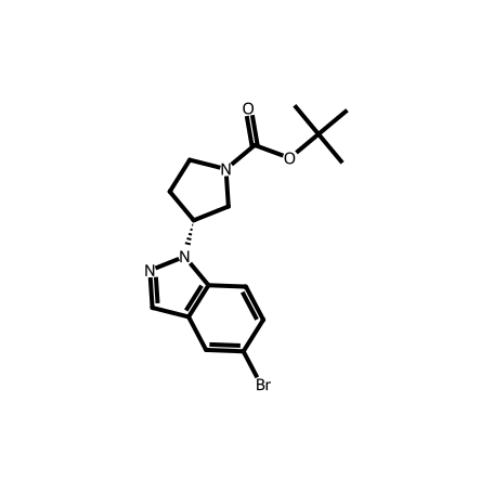 CC(C)(C)OC(=O)N1CC[C@@H](n2ncc3cc(Br)ccc32)C1